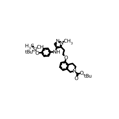 Cn1ncc(Nc2ccc(O[Si](C)(C)C(C)(C)C)cc2)c1CCOc1cccc2c1CCN(C(=O)OC(C)(C)C)C2